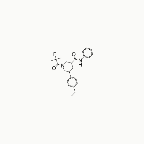 CCc1ccc(C2CC(C(=O)Nc3ccccc3)CN(C(=O)C(C)(C)F)C2)cc1